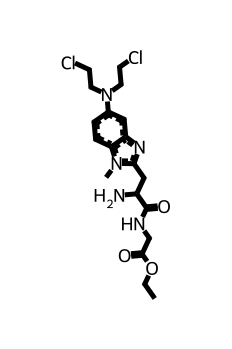 CCOC(=O)CNC(=O)C(N)Cc1nc2cc(N(CCCl)CCCl)ccc2n1C